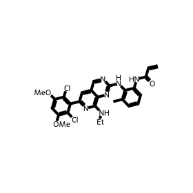 C=CC(=O)Nc1cccc(C)c1Nc1ncc2cc(-c3c(Cl)c(OC)cc(OC)c3Cl)nc(NCC)c2n1